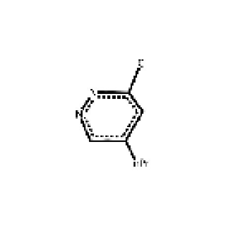 CCCc1cnnc(Cl)c1